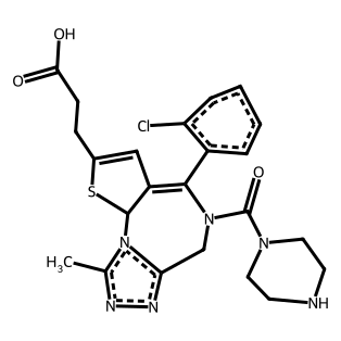 Cc1nnc2n1C1SC(CCC(=O)O)=CC1=C(c1ccccc1Cl)N(C(=O)N1CCNCC1)C2